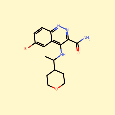 CC(Nc1c(C(N)=O)nnc2ccc(Br)cc12)C1CCOCC1